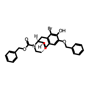 O=C(OCc1ccccc1)N1CC[C@@]23CCCC[C@@H]2[C@@H]1Cc1c3cc(OCc2ccccc2)c(O)c1Br